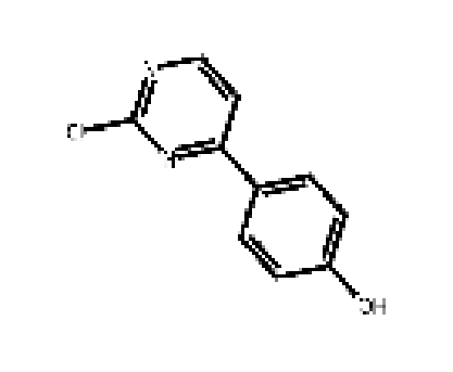 Oc1ccc(-c2ccnc(Cl)n2)cc1